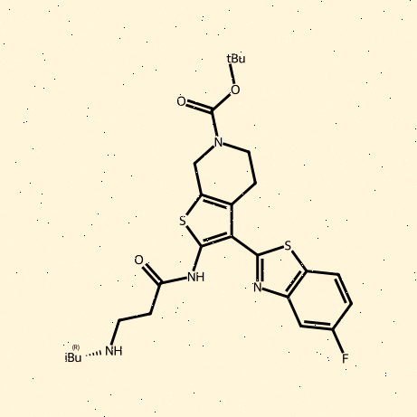 CC[C@@H](C)NCCC(=O)Nc1sc2c(c1-c1nc3cc(F)ccc3s1)CCN(C(=O)OC(C)(C)C)C2